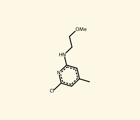 COCCNc1cc(C)cc(Cl)n1